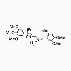 CCCCc1cc(OC)c(OC)cc1CCN(C)CCCC(C#N)(c1cc(OC)c(OC)c(OC)c1)C(C)C